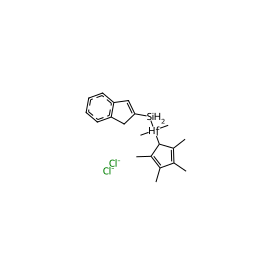 CC1=C(C)[CH]([Hf]([CH3])([CH3])[SiH2]C2=Cc3ccccc3C2)C(C)=C1C.[Cl-].[Cl-]